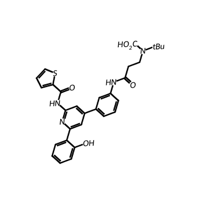 CC(C)(C)N(CCC(=O)Nc1cccc(-c2cc(NC(=O)c3cccs3)nc(-c3ccccc3O)c2)c1)C(=O)O